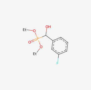 CCOP(=O)(OCC)C(O)c1cccc(F)c1